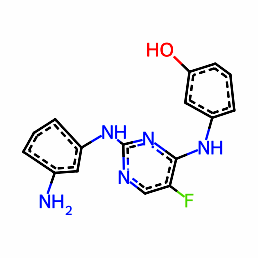 Nc1cccc(Nc2ncc(F)c(Nc3cccc(O)c3)n2)c1